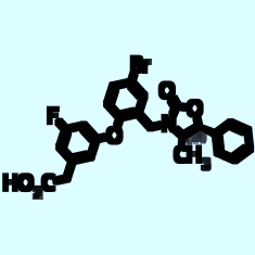 C[C@@H]1[C@H](c2ccccc2)OC(=O)N1Cc1cc(Br)ccc1Oc1cc(F)cc(CC(=O)O)c1